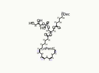 CCCCC/C=C\C/C=C\C/C=C\C/C=C\CCCCCC(=O)O[C@H](COC(=O)CCCCCCCCCCCCCC)COP(=O)(O)OC[C@@H](O)CO